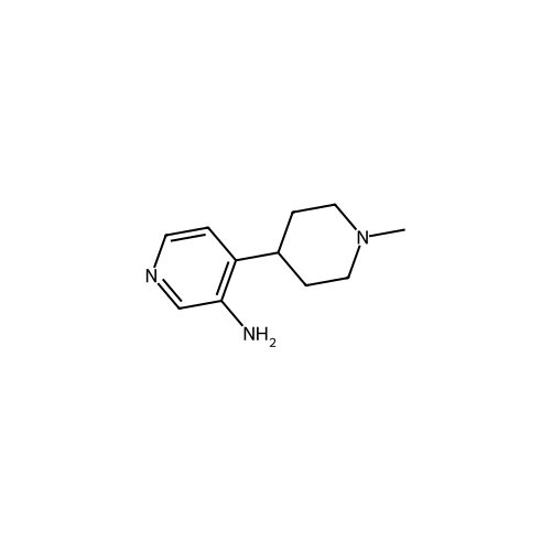 CN1CCC(c2ccncc2N)CC1